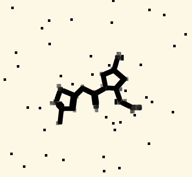 Cc1cc(CC(=O)N2CC(O)CC2NC=O)on1